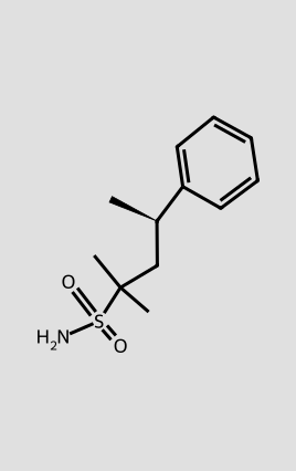 C[C@H](CC(C)(C)S(N)(=O)=O)c1ccccc1